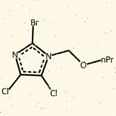 CCCOCn1c(Br)nc(Cl)c1Cl